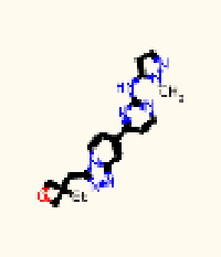 CCC1(Cc2nnc3cc(-c4ccnc(Nc5ccnn5C)n4)ccn23)COC1